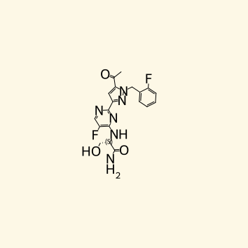 CC(=O)c1cc(-c2ncc(F)c(N[C@@H](CO)C(N)=O)n2)nn1Cc1ccccc1F